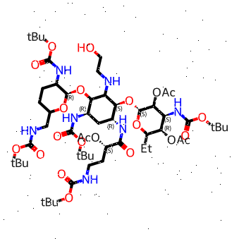 CCC1O[C@H](O[C@@H]2C(NCCO)C(O[C@H]3OC(CNC(=O)OC(C)(C)C)CCC3NC(=O)OC(C)(C)C)[C@H](NC(=O)OC(C)(C)C)C[C@H]2NC(=O)[C@H](CCNC(=O)OC(C)(C)C)OC(C)=O)C(OC(C)=O)[C@@H](NC(=O)OC(C)(C)C)[C@H]1OC(C)=O